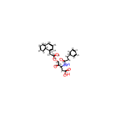 O=C(O)CC(NC(=O)CCc1ccccc1)C(=O)COC(=O)Cc1cccc2ccccc12